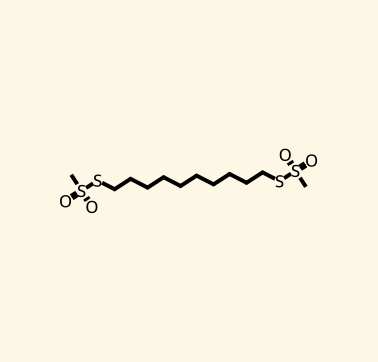 CS(=O)(=O)SCCCCCCCCCCSS(C)(=O)=O